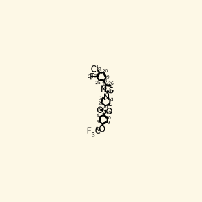 O=S(=O)(c1ccc(OC(F)(F)F)cc1)C1CCN(c2nc(-c3ccc(Cl)c(F)c3)cs2)CC1